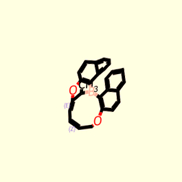 CC1B2c3c(ccc4ccccc34)OC/C=C\C=C/1Oc1ccc3ccccc3c12